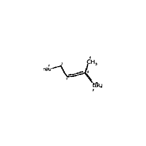 CCCCCC=C(C)C(C)(C)C